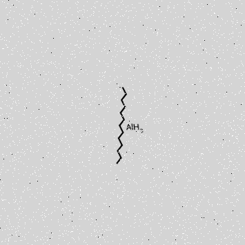 [AlH3].[CH2]CCCCCCCCCCCC